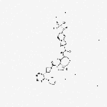 O=C(N[C@H]1CCC[C@H]2CC[C@@H](C(=O)N3CC(c4cncnc4N4CCOCC4)C3)N2C1=O)c1cc2cc([C@H](F)P(=O)(O)O)ccc2s1